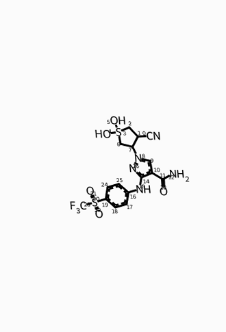 N#CC1CS(O)(O)CC1n1cc(C(N)=O)c(Nc2ccc(S(=O)(=O)C(F)(F)F)cc2)n1